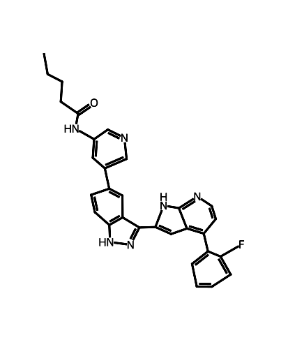 CCCCC(=O)Nc1cncc(-c2ccc3[nH]nc(-c4cc5c(-c6ccccc6F)ccnc5[nH]4)c3c2)c1